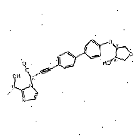 C[C@H](O)c1nccn1[C@@H](C#Cc1ccc(-c2ccc(O[C@H]3COC[C@H]3O)cc2)cc1)CO